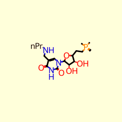 C=P(C)(C)CCC1OC(n2cc(CNCCC)c(=O)[nH]c2=O)[C@H](O)[C@@H]1O